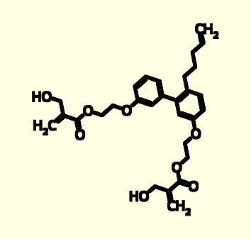 C=CCCCc1ccc(OCCOC(=O)C(=C)CO)cc1-c1cccc(OCCOC(=O)C(=C)CO)c1